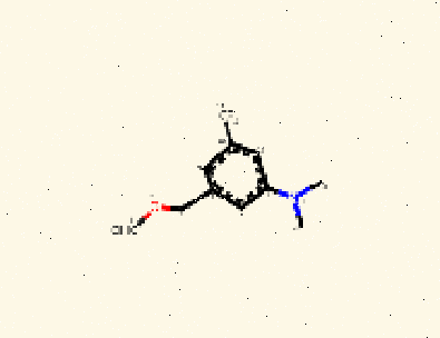 CN(C)c1cc(COC=O)cc(C(F)(F)F)c1